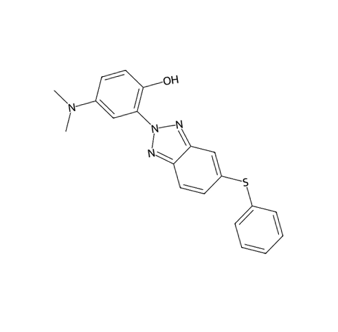 CN(C)c1ccc(O)c(-n2nc3ccc(Sc4ccccc4)cc3n2)c1